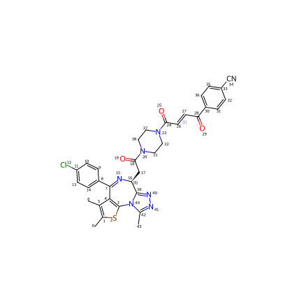 Cc1sc2c(c1C)C(c1ccc(Cl)cc1)=N[C@@H](CC(=O)N1CCN(C(=O)/C=C/C(=O)c3ccc(C#N)cc3)CC1)c1nnc(C)n1-2